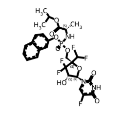 CC(C)OC(=O)[C@H](C)NP(=O)(OC[C@@]1(C(F)F)O[C@@H](n2cc(F)c(=O)[nH]c2=O)[C@H](O)C1(F)F)Oc1ccc2ccccc2c1